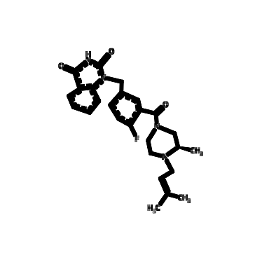 CC(C)=CCN1CCN(C(=O)c2cc(Cn3c(=O)[nH]c(=O)c4ccccc43)ccc2F)C[C@H]1C